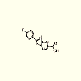 Cn1c(-c2ccc(F)cc2)cc2ncc(C(=O)O)nc21